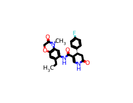 CCc1cc2c(cc1NC(=O)C1=CNC(=O)C[C@H]1c1ccc(F)cc1)N(C)C(=O)CO2